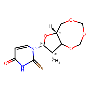 C[C@H]1C2OCOCOC[C@H]2O[C@H]1n1ccc(=O)[nH]c1=S